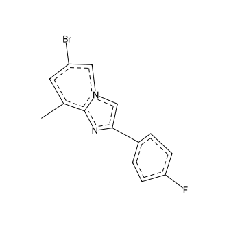 Cc1cc(Br)cn2cc(-c3ccc(F)cc3)nc12